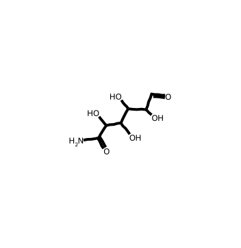 NC(=O)C(O)C(O)C(O)C(O)C=O